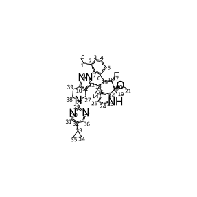 CCc1cccc2c1-n1nc3c(c1C1(C)C2=C(F)C(C)(OC)c2[nH]ccc21)CN(c1ncc(C2CC2)cn1)CC3